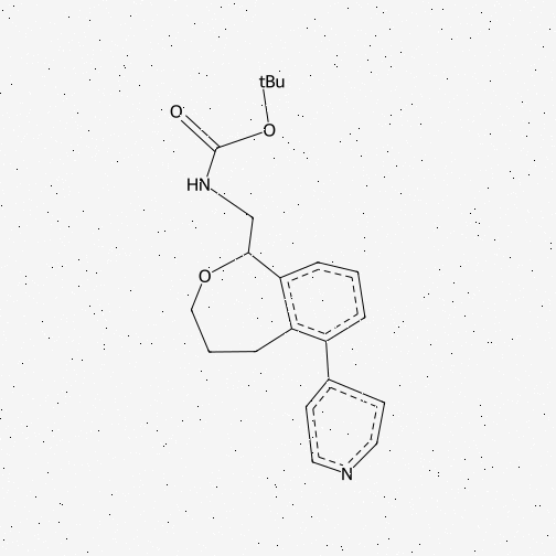 CC(C)(C)OC(=O)NCC1OCCCc2c(-c3ccncc3)cccc21